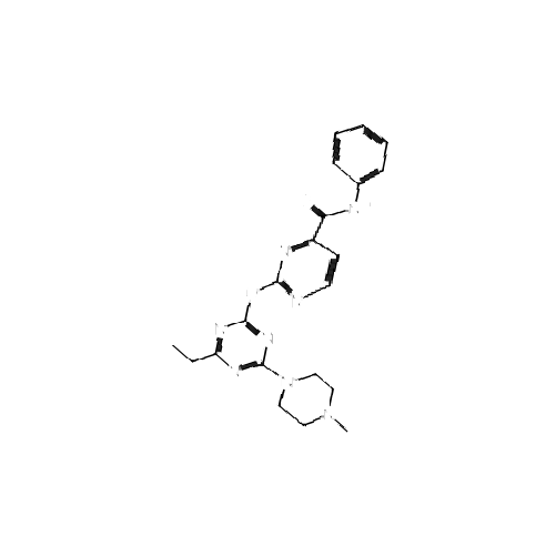 CCc1nc(Oc2nccc(C(=O)Nc3ccccc3)n2)nc(N2CCN(C)CC2)n1